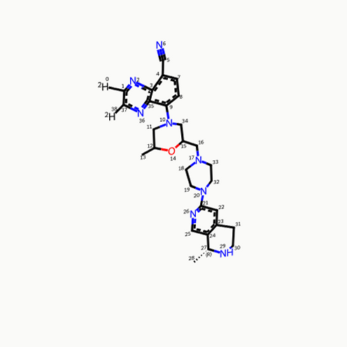 [2H]c1nc2c(C#N)ccc(N3CC(C)OC(CN4CCN(c5cc6c(cn5)[C@@H](C)NCC6)CC4)C3)c2nc1[2H]